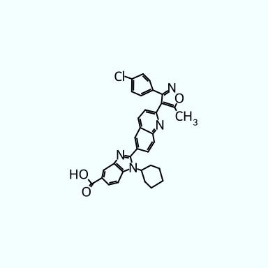 Cc1onc(-c2ccc(Cl)cc2)c1-c1ccc2cc(-c3nc4cc(C(=O)O)ccc4n3C3CCCCC3)ccc2n1